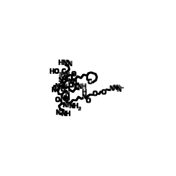 [N-]=[N+]=NCCOCCOCCC(=O)NCCCCC(N)C(=O)NC(Cc1c[nH]cn1)C(=O)NC(Cc1c[nH]cn1)C(=O)NC(Cc1c[nH]cn1)C(=O)NC(CS)C(=O)NC(CCCCC1CCCCCCCC1)C(=O)NC(Cc1c[nH]cn1)C(=O)O